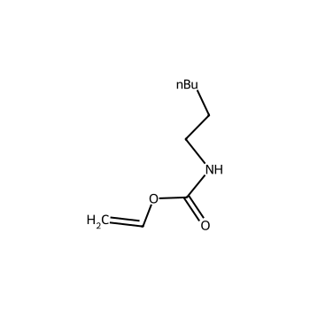 C=COC(=O)NCCCCCC